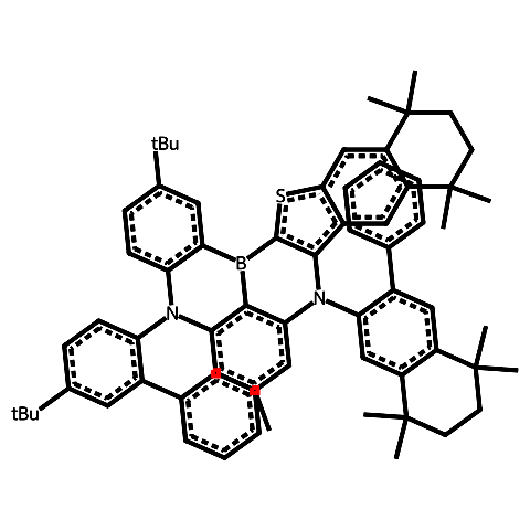 Cc1cc2c3c(c1)N(c1cc4c(cc1-c1ccccc1)C(C)(C)CCC4(C)C)c1c(sc4cc5c(cc14)C(C)(C)CCC5(C)C)B3c1cc(C(C)(C)C)ccc1N2c1ccc(C(C)(C)C)cc1-c1ccccc1